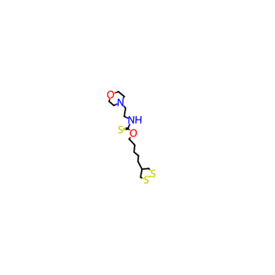 S=C(NCCN1CCOCC1)OCCCCCC1CSSC1